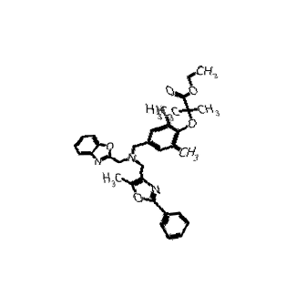 CCOC(=O)C(C)(C)Oc1c(C)cc(CN(Cc2nc3ccccc3o2)Cc2nc(-c3ccccc3)oc2C)cc1C